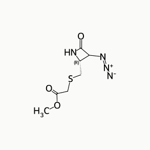 COC(=O)CSC[C@@H]1NC(=O)C1N=[N+]=[N-]